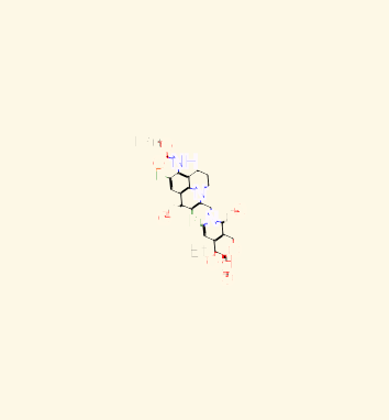 CC[C@@]1(O)C(=C=O)OCC2=C1C=CN(CC1=C(Br)C(=C=O)c3cc(F)c(NC(=O)OC(C)(C)C)c4c3N1CCC4)C2=C=O